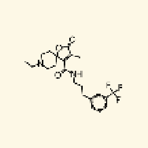 CCN1CCC2(CC1)OC(=O)C(C)=C2C(=O)NCCCc1cccc(C(F)(F)F)c1